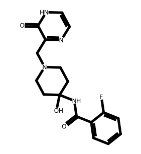 O=C(NC1(O)CCN(Cc2ncc[nH]c2=O)CC1)c1ccccc1F